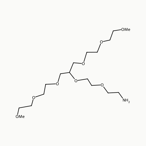 COCCOCCOCC(COCCOCCOC)OCCOCCN